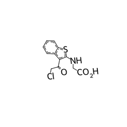 O=C(O)CNc1sc2ccccc2c1C(=O)CCl